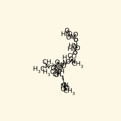 CCCN(CCC)CCCC[C@H](NC(=O)[C@@H](NC(=O)CCCC#Cc1cnc(S(C)(=O)=O)nc1)C(C)C)C(=O)NCC(=O)NCOCC(=O)N(C)CCCc1ccc(NC(=O)NCc2ccc3c(c2)CN(C2CCC(=O)NC2=O)C3=O)cc1Cl